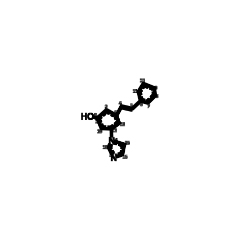 Oc1cc(/C=C/c2ccccc2)cc(-n2ccnc2)c1